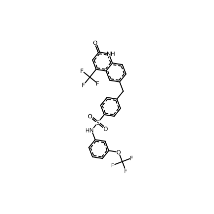 O=c1cc(C(F)(F)F)c2cc(Cc3ccc(S(=O)(=O)Nc4cccc(OC(F)(F)F)c4)cc3)ccc2[nH]1